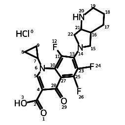 Cl.O=C(O)c1cn(C2CC2)c2c(F)c(N3CC4CCCNC4C3)c(F)c(F)c2c1=O